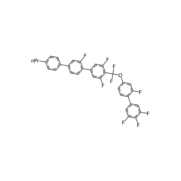 CCCc1ccc(-c2ccc(-c3cc(F)c(C(F)(F)Oc4ccc(-c5cc(F)c(F)c(F)c5)c(F)c4)c(F)c3)c(F)c2)cc1